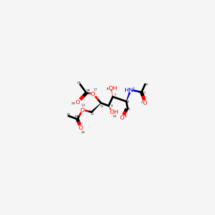 CC(=O)N[C@@H](C=O)[C@@H](O)[C@H](O)[C@@H](COC(C)=O)OC(C)=O